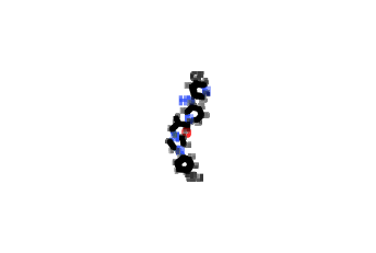 CC(CN1CCN(c2ccc(C(C)(C)C)cc2)CC1)C(=O)N1CCC[C@H](Nc2cncc(C(F)(F)F)c2)C1